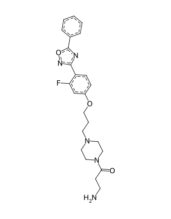 NCCC(=O)N1CCN(CCCOc2ccc(-c3noc(-c4ccccc4)n3)c(F)c2)CC1